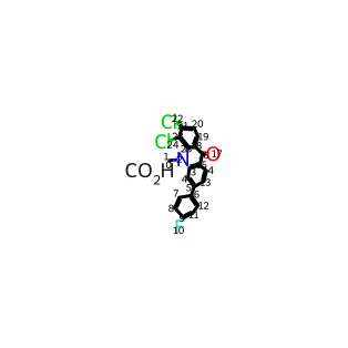 O=C(O)Cn1c2cc(-c3ccc(F)cc3)ccc2c(=O)c2ccc(Cl)c(Cl)c21